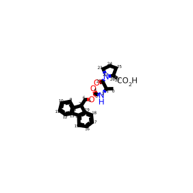 CC(NC(=O)OCC1c2ccccc2-c2ccccc21)C(=O)N1CCCC1C(=O)O